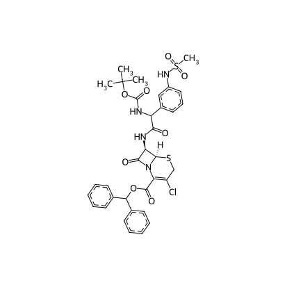 CC(C)(C)OC(=O)NC(C(=O)N[C@@H]1C(=O)N2C(C(=O)OC(c3ccccc3)c3ccccc3)=C(Cl)CS[C@H]12)c1cccc(NS(C)(=O)=O)c1